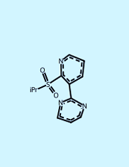 CC(C)S(=O)(=O)c1ncccc1-c1ncccn1